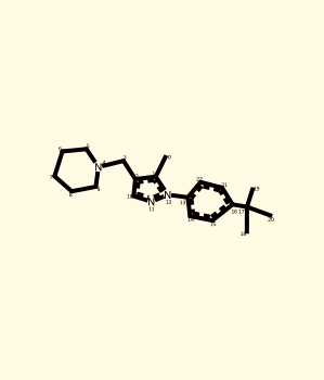 Cc1c(CN2CCCCC2)cnn1-c1ccc(C(C)(C)C)cc1